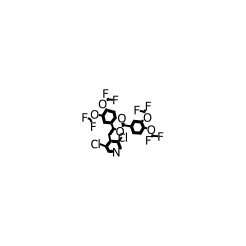 O=C(OC(=Cc1c(Cl)cncc1Cl)c1ccc(OC(F)F)c(OC(F)F)c1)c1ccc(OC(F)F)c(OC(F)F)c1